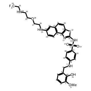 COc1cccc(CNc2ccc(S(=O)(=O)Nc3nc4c(ccc5cc(NCCOCCNCC(F)(F)F)ccc54)s3)cc2)c1O